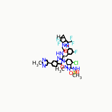 Cc1ncc(-c2ccc3c(=O)n(C4=CC=C(Cl)C5C(NS(C)(=O)=O)=NN(C)C45)c([C@H](Cc4cc(F)cc(F)c4)NC(=O)Cn4nc(C(F)F)c5c4C(F)(F)[C@H]4CC54)nc3c2)cn1